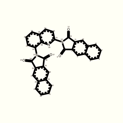 O=C1c2cc3ccccc3cc2C(=O)N1c1ccc2cccc(N3C(=O)c4cc5ccccc5cc4C3=O)c2n1